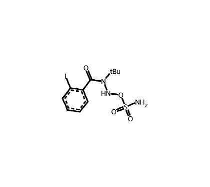 CC(C)(C)N(NOS(N)(=O)=O)C(=O)c1ccccc1I